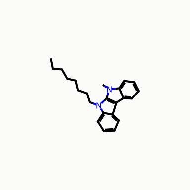 CCCCCCCCn1c2ccccc2c2c3ccccc3n(C)c21